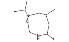 CC1CC(I)NCCN(C(C)C)C1